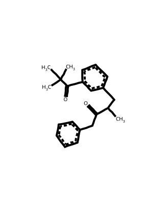 CC(Cc1cccc(C(=O)C(C)(C)C)c1)C(=O)Cc1ccccc1